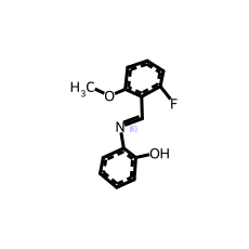 COc1cccc(F)c1/C=N/c1ccccc1O